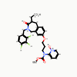 CC(C)(C)OC(=O)N(CCCOc1ccc2c(c1)CN(Cc1ccc(F)c(F)c1F)C(=O)C(CC(=O)O)C2)c1cccc[n+]1[O-]